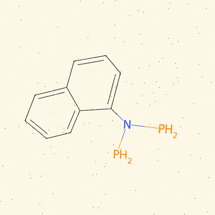 PN(P)c1cccc2ccccc12